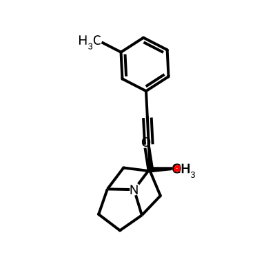 CC(=O)N1C2CCC1CC(O)(C#Cc1cccc(C)c1)C2